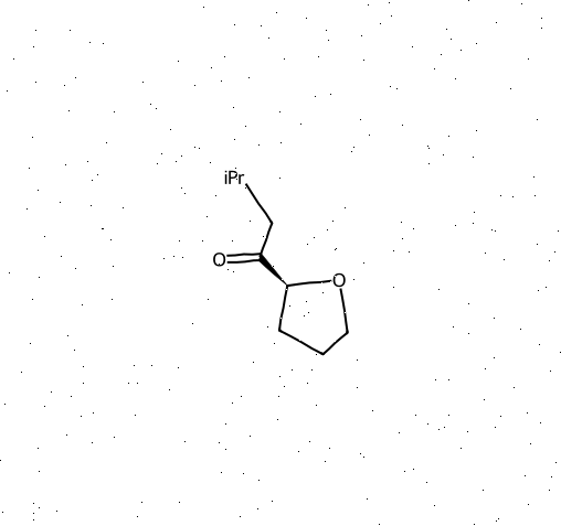 CC(C)CC(=O)[C@@H]1CCCO1